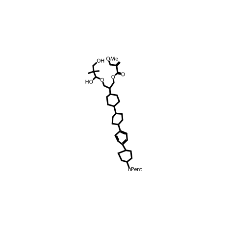 C=C(COC)C(=O)OCC(COC(O)C(C)(C)CO)C1CCC(C2CCC(c3ccc(C4CCC(CCCCC)CC4)cc3)CC2)CC1